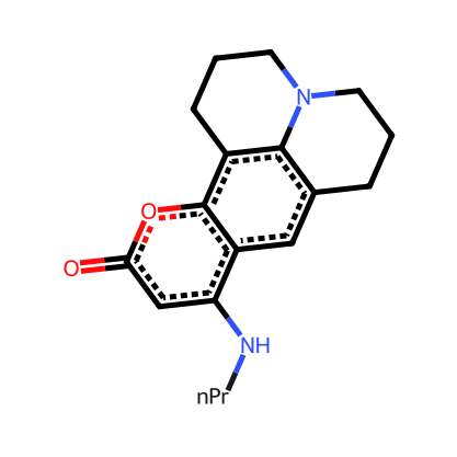 CCCNc1cc(=O)oc2c3c4c(cc12)CCCN4CCC3